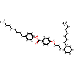 CCCCCCCCc1ccc(OC(=O)c2ccc(OCCCC3CCCCC3CCCCCCC)cc2)cc1